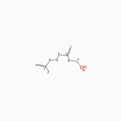 C=C(C)CCCC(=C)CCO